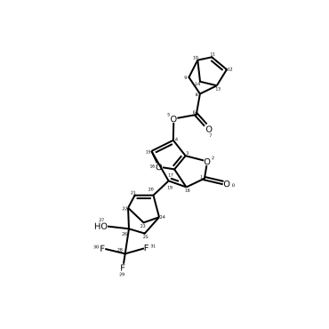 O=C1Oc2c(OC(=O)C3CC4C=CC3C4)c3oc2c1c3C1=CC2CC1CC2(O)C(F)(F)F